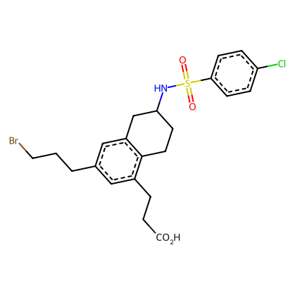 O=C(O)CCc1cc(CCCBr)cc2c1CCC(NS(=O)(=O)c1ccc(Cl)cc1)C2